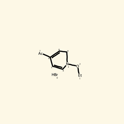 Br.CCON1C=CC(C(C)=O)=CC1